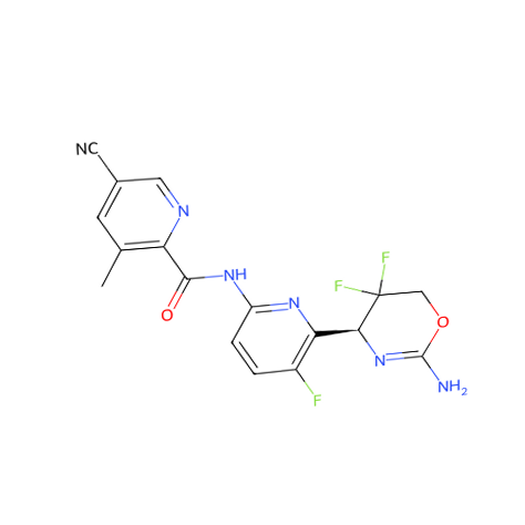 Cc1cc(C#N)cnc1C(=O)Nc1ccc(F)c([C@@H]2N=C(N)OCC2(F)F)n1